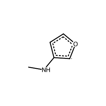 CNc1[c]occ1